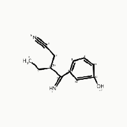 CC[C@@H](CC#N)C(=N)c1cccc(O)c1